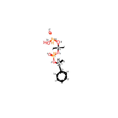 C[SiH](O[PH](=O)O[Si](C)(C)O[PH](=O)O)c1ccccc1